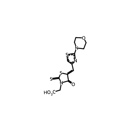 O=C(O)CN1C(=O)C(=Cc2csc(N3CCOCC3)n2)SC1=S